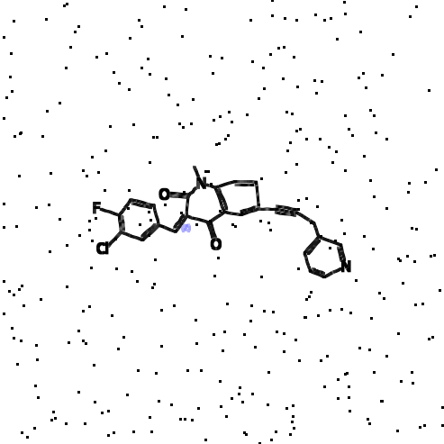 CN1C(=O)/C(=C\c2ccc(F)c(Cl)c2)C(=O)c2cc(C#CCc3cccnc3)ccc21